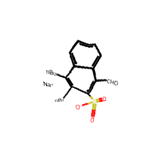 CCCCc1c(S(=O)(=O)[O-])c(C=O)c2ccccc2c1CCCC.[Na+]